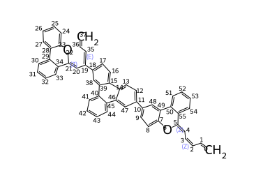 C=C/C=C\C=C1/Oc2ccc(-c3ccc4c5ccc(C(/C=C6\Oc7ccccc7-c7ccccc76)=C/C=C)cc5c5ccccc5c4c3)cc2-c2ccccc21